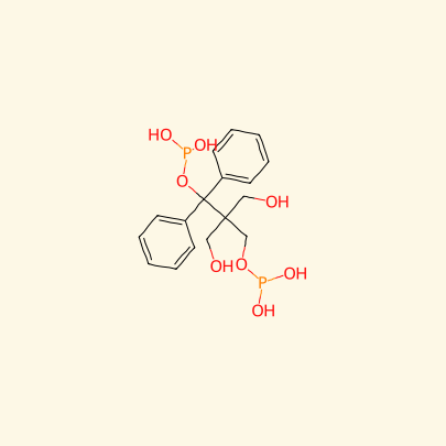 OCC(CO)(COP(O)O)C(OP(O)O)(c1ccccc1)c1ccccc1